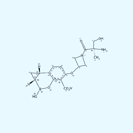 C[C@@](N)(CO)C(=O)N1CC(Oc2ccc3c(c2C(=O)O)OB(O)[C@@H]2C[C@H]32)C1